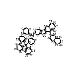 c1ccc(N(c2ccc3c(c2)C(c2ccccc2)(c2ccccc2)c2ccccc2-3)c2ccc3c(c2)oc2c(-c4ccc5ccccc5c4)c4ccccc4cc23)cc1